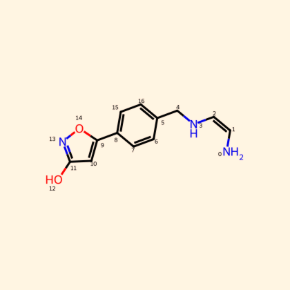 N/C=C\NCc1ccc(-c2cc(O)no2)cc1